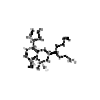 CCCN(CCC)[C@@H]1Cc2c(-c3ccon3)ccc3c2[C@H](CN3)C1